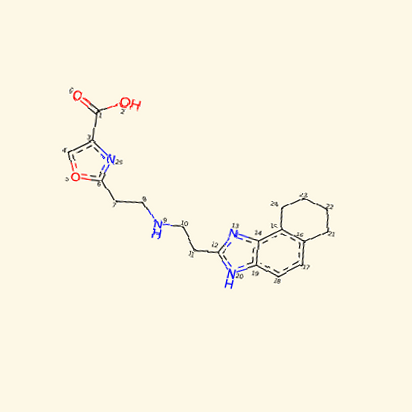 O=C(O)c1coc(CCNCCc2nc3c4c(ccc3[nH]2)CCCC4)n1